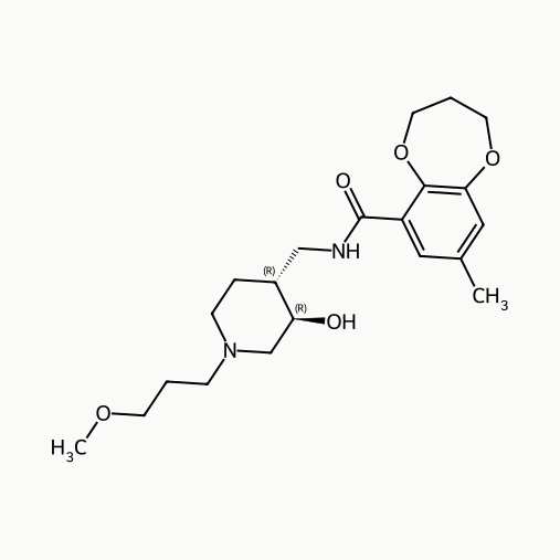 COCCCN1CC[C@H](CNC(=O)c2cc(C)cc3c2OCCCO3)[C@@H](O)C1